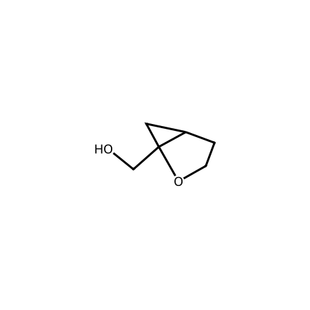 OCC12CC1CCO2